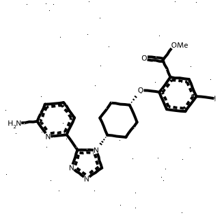 COC(=O)c1cc(I)ccc1O[C@H]1CC[C@@H](n2cnnc2-c2cccc(N)n2)CC1